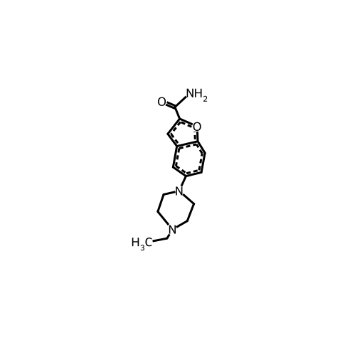 CCN1CCN(c2ccc3oc(C(N)=O)cc3c2)CC1